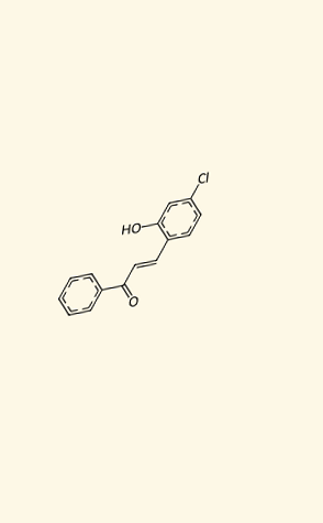 O=C(/C=C/c1ccc(Cl)cc1O)c1ccccc1